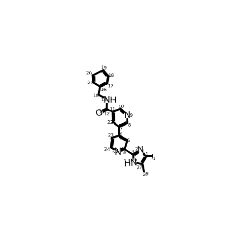 Cc1nc(-c2cc(-c3cncc(C(=O)NCc4ccccc4)c3)ccn2)[nH]c1C